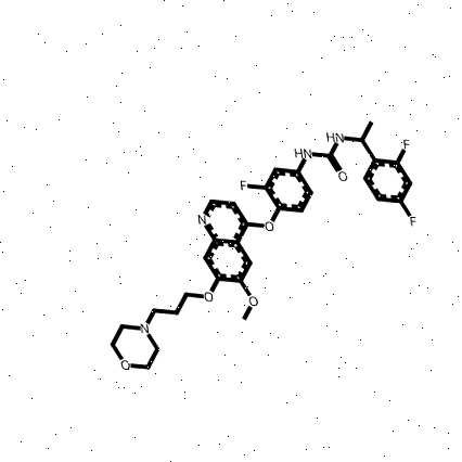 COc1cc2c(Oc3ccc(NC(=O)NC(C)c4ccc(F)cc4F)cc3F)ccnc2cc1OCCCN1CCOCC1